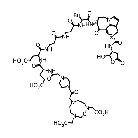 CCC(C)C(NC(=O)CCNC(=O)CCNC(=O)C(CCC(=O)O)NC(=O)C(CCC(=O)O)NC(=O)CN1CCN(C(=O)CN2CCN(CC(=O)O)CCN(CC(=O)O)CC2)CC1)C(=O)N[C@H]1CCn2ccc3c2C(=C[C@@H](C(=O)NC2CC(=O)OC2O)C3)C1=O